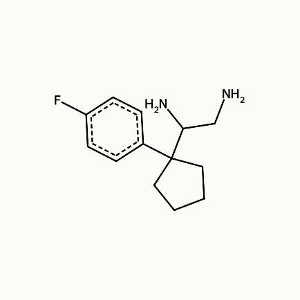 NCC(N)C1(c2ccc(F)cc2)CCCC1